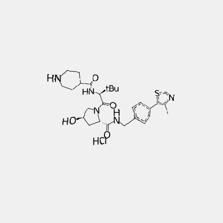 Cc1ncsc1-c1ccc(CNC(=O)[C@@H]2C[C@@H](O)CN2C(=O)[C@@H](NC(=O)C2CCNCC2)C(C)(C)C)cc1.Cl